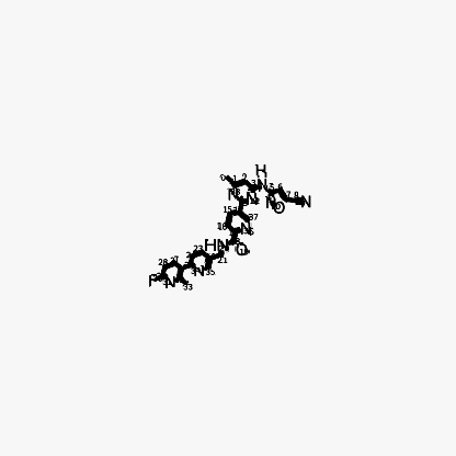 Cc1cc(Nc2cc(C#N)on2)nc(-c2ccc(C(=O)NCc3ccc(-c4ccc(F)nc4C)nc3)nc2)n1